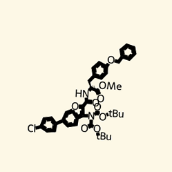 COC(=O)[C@H](Cc1ccc(OCc2ccccc2)cc1)NC(=O)c1oc2cc(-c3ccc(Cl)cc3)ccc2c1N(C(=O)OC(C)(C)C)C(=O)OC(C)(C)C